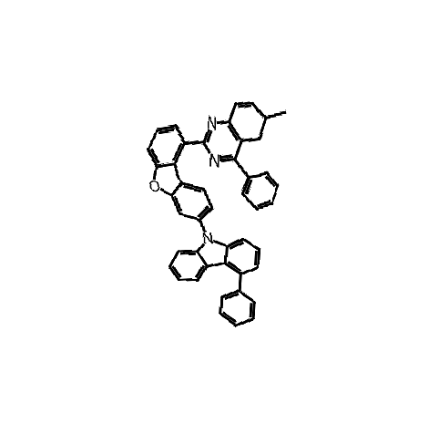 CC1C=Cc2nc(-c3cccc4oc5cc(-n6c7ccccc7c7c(-c8ccccc8)cccc76)ccc5c34)nc(-c3ccccc3)c2C1